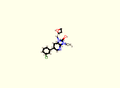 Cn1c(=O)n(C[C@H]2CCO2)c2cc(-c3cccc(Cl)c3)cnc21